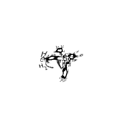 CC1=C(C)C(C)=[C]([Zr]([C]2=CC=CC2)=[C](C)C)C1.c1ccc(CCc2ccccc2)cc1